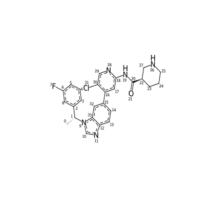 C[C@H](c1cccc(F)c1)n1cnc2ccc(-c3cc(NC(=O)[C@@H]4CCCNC4)ncc3Cl)cc21